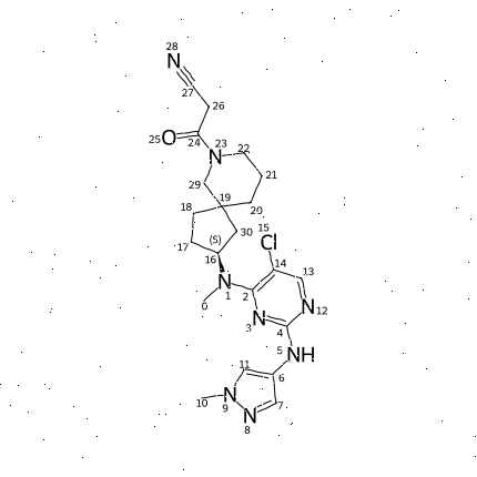 CN(c1nc(Nc2cnn(C)c2)ncc1Cl)[C@H]1CCC2(CCCN(C(=O)CC#N)C2)C1